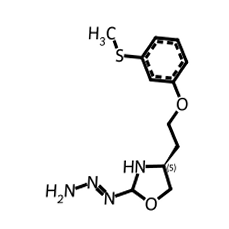 CSc1cccc(OCC[C@H]2COC(N=NN)N2)c1